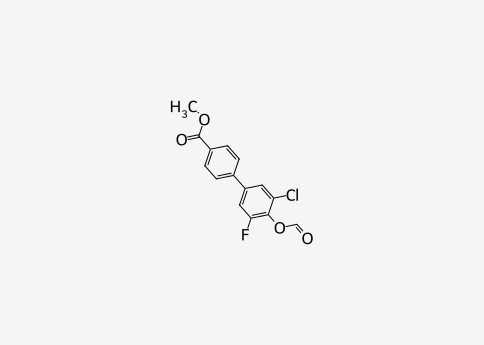 COC(=O)c1ccc(-c2cc(F)c(OC=O)c(Cl)c2)cc1